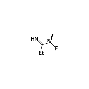 CCC(=N)[C@@H](C)F